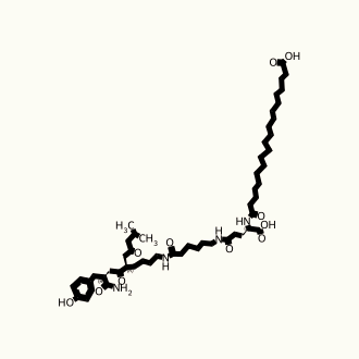 CC(C)CC(=O)C[C@@H](CCCCNC(=O)CCCCCNC(=O)CC[C@H](NC(=O)CCCCCCCCCCCCCCCCCCC(=O)O)C(=O)O)C(=O)C[C@@H](Cc1ccc(O)cc1)C(N)=O